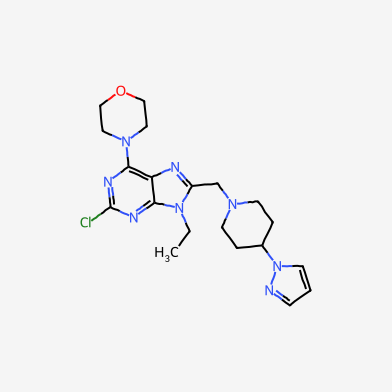 CCn1c(CN2CCC(n3cccn3)CC2)nc2c(N3CCOCC3)nc(Cl)nc21